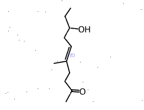 CCC(O)C/C=C(\C)CCC(C)=O